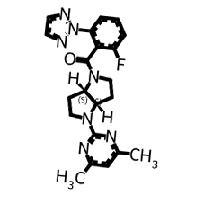 Cc1cc(C)nc(N2CC[C@H]3[C@@H]2CCN3C(=O)c2c(F)cccc2-n2nccn2)n1